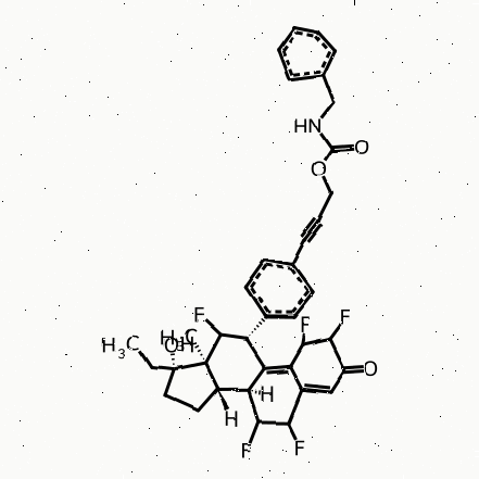 CC[C@]1(O)CC[C@H]2[C@H]3C(=C4C(=CC(=O)C(F)C4F)C(F)C3F)[C@@H](c3ccc(C#CCOC(=O)NCc4ccccc4)cc3)C(F)[C@@]21C